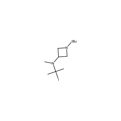 CN(C1CN(C(C)(C)C)C1)C(C)(C)I